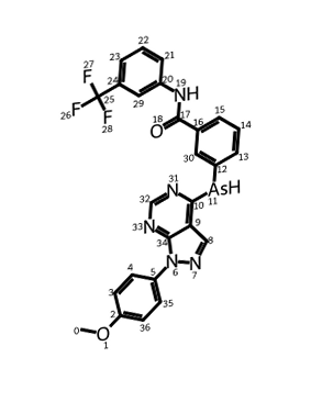 COc1ccc(-n2ncc3c([AsH]c4cccc(C(=O)Nc5cccc(C(F)(F)F)c5)c4)ncnc32)cc1